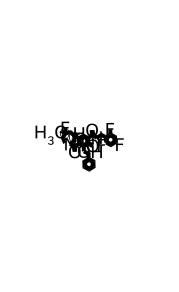 C[C@]1(F)CCN2C[C@H](C1)n1cc(C(=O)NCc3c(F)cc(F)cc3F)c(=O)c(OCc3ccccc3)c1C2=O